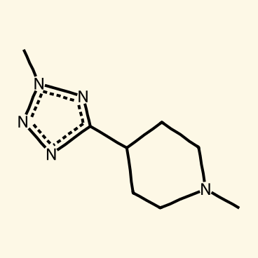 CN1CCC(c2nnn(C)n2)CC1